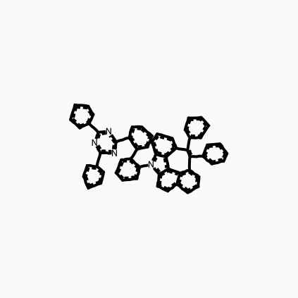 c1ccc(C2=C(c3ccccc3)c3cccc4c3c3c5c2cccc5ccc3n4-c2ccccc2-c2ccccc2-c2nc(-c3ccccc3)nc(-c3ccccc3)n2)cc1